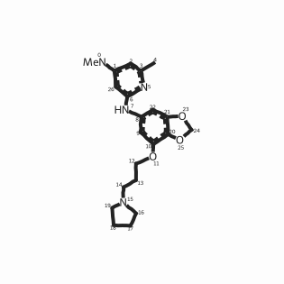 CNc1cc(C)nc(Nc2cc(OCCCN3CCCC3)c3c(c2)OCO3)c1